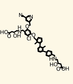 Cc1c(COc2cc(OCc3cncc(C#N)c3)c(CNC[C@@H](O)CC(=O)O)cc2Cl)cccc1-c1cccc(-c2ccc(CNC[C@@H](O)CC(=O)O)cc2)c1C